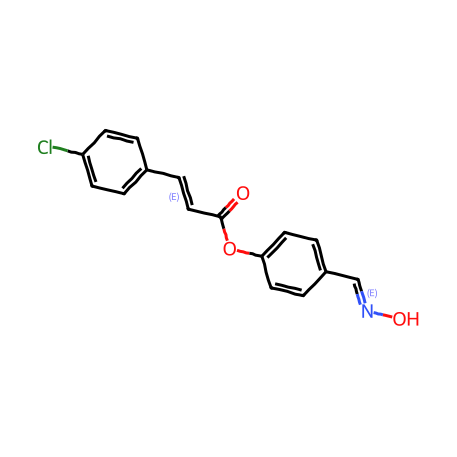 O=C(/C=C/c1ccc(Cl)cc1)Oc1ccc(/C=N/O)cc1